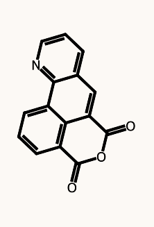 O=C1OC(=O)c2cc3cccnc3c3cccc1c23